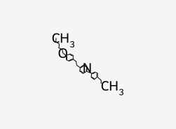 CCCCCOc1ccc(CCc2ccc(-c3ccc(CCC)cc3)nc2)cc1